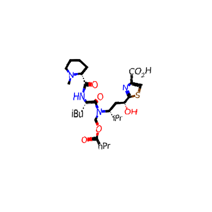 CCCC(=O)OCN(C(=O)[C@@H](NC(=O)[C@H]1CCCCN1C)C(C)CC)[C@H](C[C@@H](O)c1nc(C(=O)O)cs1)C(C)C